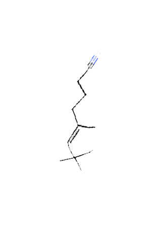 C/C(=C\C(C)(C)C)CCCC#N